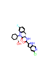 O=C(N[C@@H](Cc1ccc(F)cc1)C(=O)NC1CCCC[C@H]1CO)c1cc2cc(Cl)ncc2[nH]1